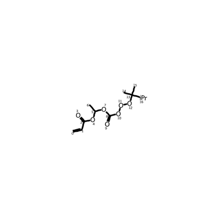 C=CC(=O)OC(C)OC(=O)OOOC(C)(C)C(C)C